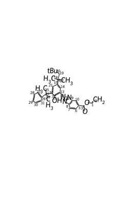 C=COC(=O)c1ccc2c(c1)n1n(-c3cc(C(C)(C)CC(C)(C)C)cc(C(C)(C)c4ccccc4)c3O)n21